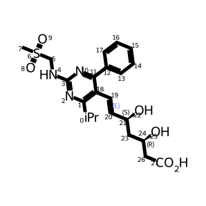 CC(C)c1nc(NCS(C)(=O)=O)nc(-c2ccccc2)c1/C=C/[C@@H](O)C[C@@H](O)CC(=O)O